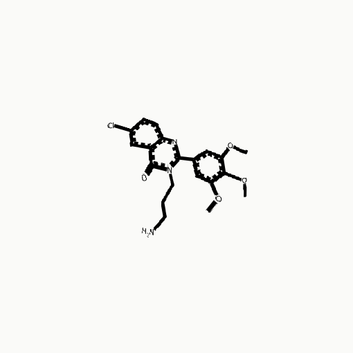 COc1cc(-c2nc3ccc(Cl)cc3c(=O)n2CCCN)cc(OC)c1OC